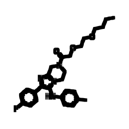 CCCCOCCOCC(=O)N1CCn2c(nc(-c3ccc(F)cc3)c2Nc2ccc(C)cc2)C1